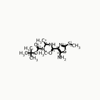 CSc1nc(C(=O)NC(C)N(C)C(=O)OC(C)(C)C)c(N)s1